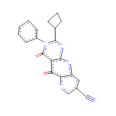 N#Cc1cnc2c(=O)c3c(=O)n(-c4ccccc4)c(C4CCC4)nc3[nH]c2c1